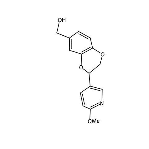 COc1ccc(C2COc3ccc(CO)cc3O2)cn1